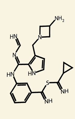 N=C/N=C(/Nc1cccc(C(=N)SC(=N)C2CC2)c1)c1[nH]ccc1CN1CC(N)C1